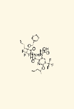 C=CCCC(OCc1ccccc1)(C(=O)NNC(=O)c1nc(OC(C)CC=C)c(C(F)(F)F)cc1NC(=O)O)C(F)(F)F